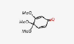 COC1=CC(=O)C=CC1(OC)OC